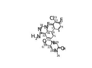 C[C@H](Oc1ccc(-c2ccc(F)c(Cl)c2F)c2ncnc(N)c12)c1cn(C)c(=O)cn1